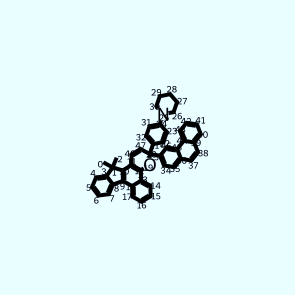 CC1(C)c2ccccc2-c2c1c1c(c3ccccc23)OC(c2ccc(N3CCCCC3)cc2)(c2ccc3ccc4ccccc4c3c2)C=C1